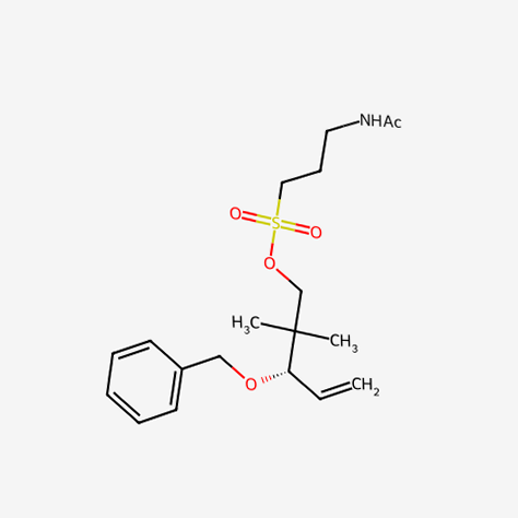 C=C[C@H](OCc1ccccc1)C(C)(C)COS(=O)(=O)CCCNC(C)=O